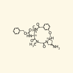 CN1C[C@H](NC(=O)OCc2ccccc2)C(=O)N(C)CC(=O)N2C[C@H](N)C[C@H]2COc2cccc(c2)C1=O